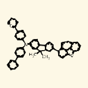 CC1(C)c2cc(-c3ccc4oc5cccc6ccc3c4c65)ccc2-c2ccc(N(c3ccc(-c4ccccc4)cc3)c3ccc(-c4ccccc4)cc3)cc21